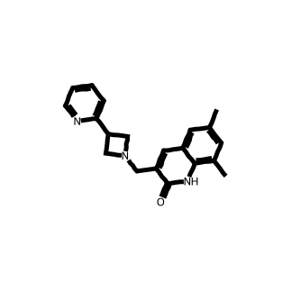 Cc1cc(C)c2[nH]c(=O)c(CN3CC(c4ccccn4)C3)cc2c1